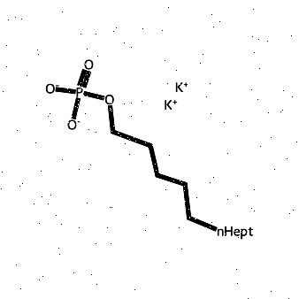 CCCCCCCCCCCCOP(=O)([O-])[O-].[K+].[K+]